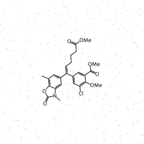 COC(=O)CCC/C=C(\c1cc(Cl)c(OC)c(C(=O)OC)c1)c1cc(C)c2oc(=O)n(C)c2c1